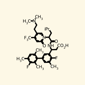 Cc1cc(-c2c(C)cc(C)c(F)c2C)cc(C(CC(=O)O)NC(=O)C(CC(C)C)n2cc(CCN(C)C)c(C(F)(F)F)cc2=O)c1F